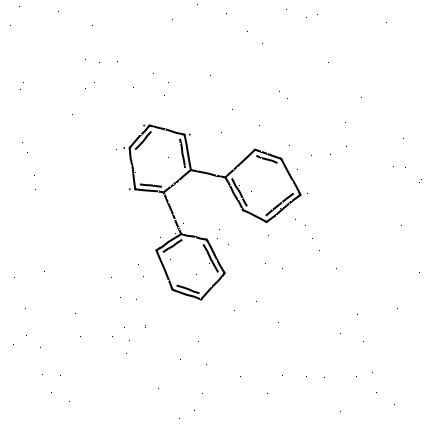 [c]1[c][c]c(-c2ccccc2)c(-c2ccccc2)[c]1